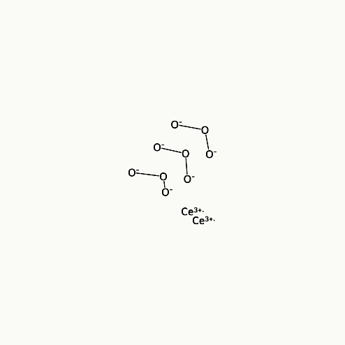 [Ce+3].[Ce+3].[O-]O[O-].[O-]O[O-].[O-]O[O-]